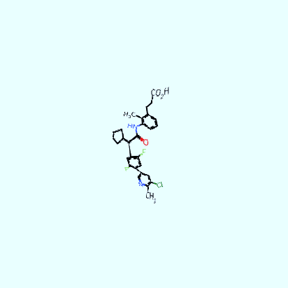 Cc1ncc(-c2cc(F)c([C@H](C(=O)Nc3cccc(CCC(=O)O)c3C)C3CCCC3)cc2F)cc1Cl